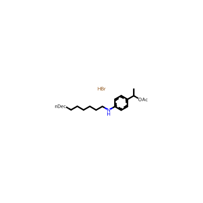 Br.CCCCCCCCCCCCCCCCNc1ccc(C(C)OC(C)=O)cc1